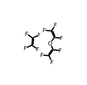 FC(F)=C(F)F.FC(F)=C(F)OC(F)=C(F)F